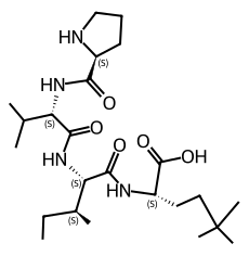 CC[C@H](C)[C@H](NC(=O)[C@@H](NC(=O)[C@@H]1CCCN1)C(C)C)C(=O)N[C@@H](CCC(C)(C)C)C(=O)O